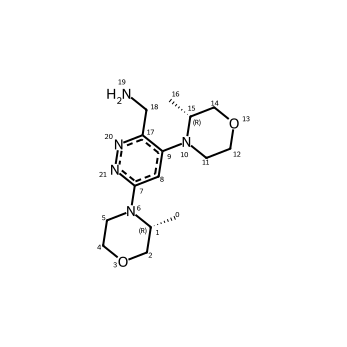 C[C@@H]1COCCN1c1cc(N2CCOC[C@H]2C)c(CN)nn1